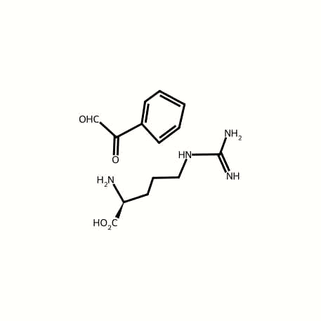 N=C(N)NCCC[C@H](N)C(=O)O.O=CC(=O)c1ccccc1